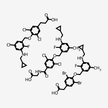 Cc1cc(COc2c(Br)cc(CC(=O)O)cc2Br)c(F)c(NCC2CC2)c1.Cc1cc(COc2c(Cl)cc(C(=O)NCC(=O)O)cc2Cl)c(F)c(NCC2CC2)c1.O=C(O)CCc1cc(Cl)c(OCc2cc(Cl)cc(NCC3CC3)c2F)c(Cl)c1